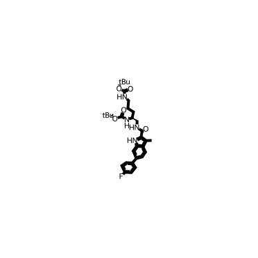 Cc1c(C(=O)NC[C@H](CCCNC(=O)OC(C)(C)C)NC(=O)OC(C)(C)C)[nH]c2cc(-c3ccc(F)cc3)ccc12